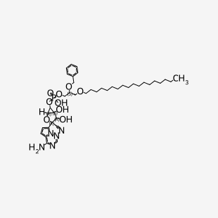 CCCCCCCCCCCCCCCCCCOC[C@@H](COP(=O)(O)OC1[C@H]2O[C@@](C#N)(c3ccc4c(N)ncnn34)[C@H](O)[C@@]12O)OCc1ccccc1